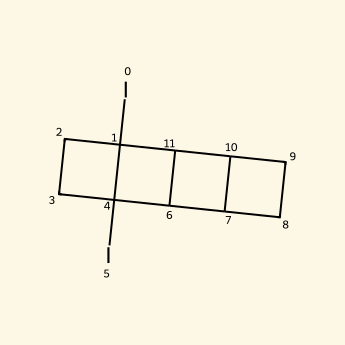 IC12CCC1(I)C1C3CCC3C12